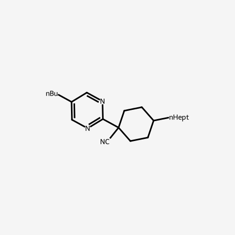 CCCCCCCC1CCC(C#N)(c2ncc(CCCC)cn2)CC1